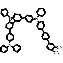 N#Cc1ccc(-c2ccc(-c3ccc(N(c4ccccc4)c4ccc(-c5ccc6c(c5)c5cc(-c7ccc(N(c8ccccc8)c8ccccc8)cc7)ccc5n6-c5ccccc5)cc4)cc3)cc2)cc1C#N